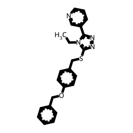 CCn1c(SCc2ccc(OCc3ccccc3)cc2)nnc1-c1cccnc1